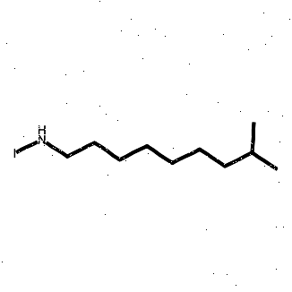 CC(C)CCCCCCCNI